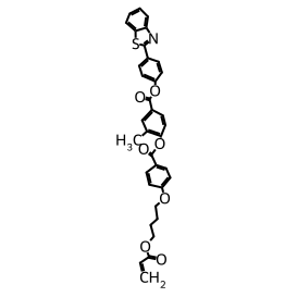 C=CC(=O)OCCCCOc1ccc(C(=O)Oc2ccc(C(=O)Oc3ccc(-c4nc5ccccc5s4)cc3)cc2C)cc1